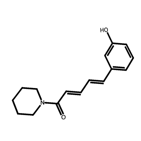 O=C(C=CC=Cc1cccc(O)c1)N1CCCCC1